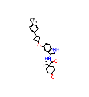 CC1(C(=O)Nc2c[nH]c3ccc(OC4CC(c5ccc(C(F)(F)F)cc5)C4)cc23)CCC(=O)CC1